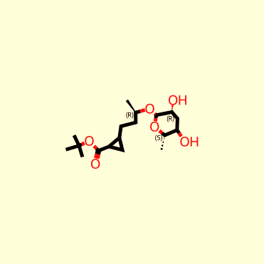 C[C@H](CCC1CC1C(=O)OC(C)(C)C)OC1O[C@@H](C)C(O)C[C@H]1O